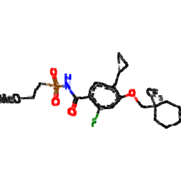 COCCS(=O)(=O)NC(=O)c1cc(C2CC2)c(OCC2(C(F)(F)F)CCCCC2)cc1F